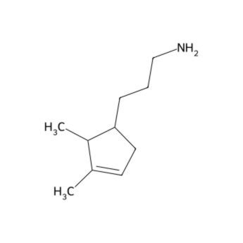 CC1=CCC(CCCN)C1C